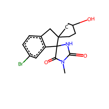 CN1C(=O)NC2(C1=O)c1cc(Br)ccc1CC21CCC(O)CC1